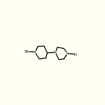 CCN1CCN(C2CCN(C(C)(C)C)CC2)CC1